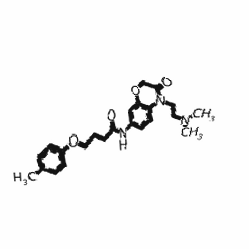 Cc1ccc(OCCCC(=O)Nc2ccc3c(c2)OCC(=O)N3CCN(C)C)cc1